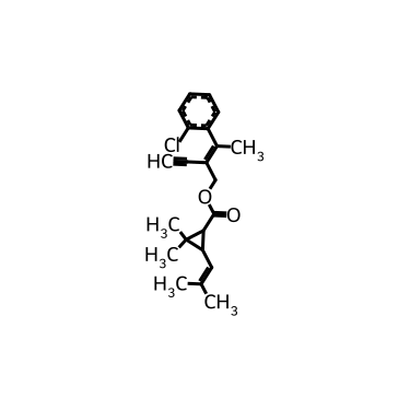 C#C/C(COC(=O)C1C(C=C(C)C)C1(C)C)=C(/C)c1ccccc1Cl